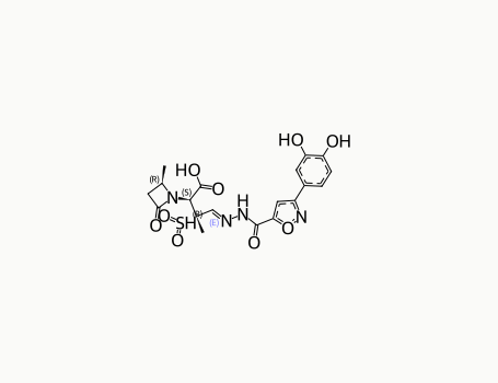 C[C@@H]1CC(=O)N1[C@@H](C(=O)O)[C@](C)(/C=N/NC(=O)c1cc(-c2ccc(O)c(O)c2)no1)[SH](=O)=O